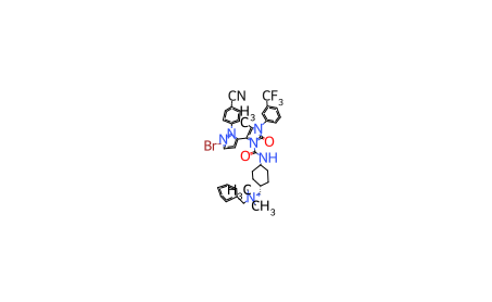 Cc1c(-c2ccnn2-c2ccc(C#N)cc2)n(C(=O)N[C@H]2CC[C@@H](C[N+](C)(C)Cc3ccccc3)CC2)c(=O)n1-c1cccc(C(F)(F)F)c1.[Br-]